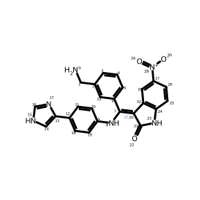 NCc1cccc(/C(Nc2ccc(-c3c[nH]cn3)cc2)=C2/C(=O)Nc3ccc([N+](=O)[O-])cc32)c1